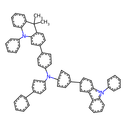 CC1(C)c2ccccc2N(c2ccccc2)c2cc(-c3ccc(N(c4ccc(-c5ccccc5)cc4)c4ccc(-c5ccc6c(c5)c5ccccc5n6-c5ccccc5)cc4)cc3)ccc21